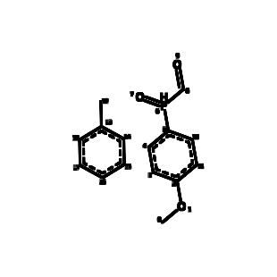 COc1ccc([PH](=O)C=O)cc1.Cc1ccccc1